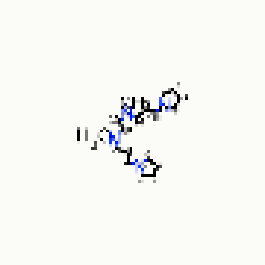 CN(CCCN1CCCC1)CCN(C)CCCN1CCCC1